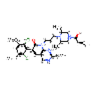 C=CC(=O)N1CC(C)N(CCCn2c(=O)c(-c3c(Cl)c(OC)cc(OC)c3Cl)cc3cnc(NC)nc32)C(C)C1